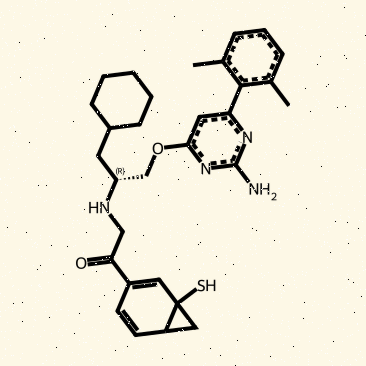 Cc1cccc(C)c1-c1cc(OC[C@@H](CC2CCCCC2)NCC(=O)C2=CC3(S)CC3C=C2)nc(N)n1